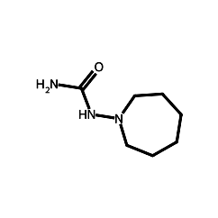 NC(=O)NN1CCCCCC1